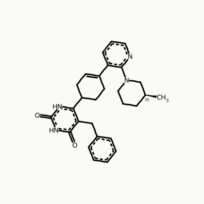 C[C@H]1CCCN(c2ncccc2C2=CCC(c3[nH]c(=O)[nH]c(=O)c3Cc3ccccc3)CC2)C1